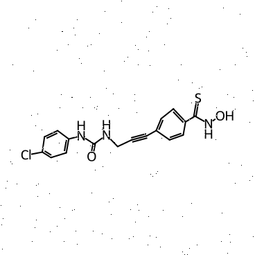 O=C(NCC#Cc1ccc(C(=S)NO)cc1)Nc1ccc(Cl)cc1